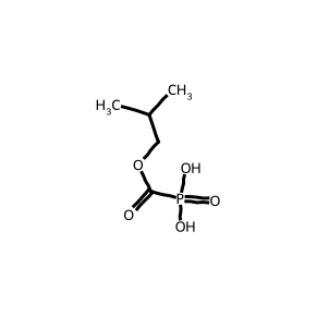 CC(C)COC(=O)P(=O)(O)O